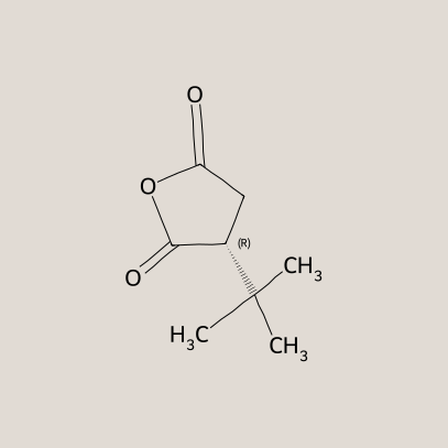 CC(C)(C)[C@H]1CC(=O)OC1=O